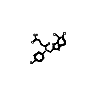 O=C(O)CCC(=O)N(Cc1nc2c(Cl)c(Cl)ccc2s1)c1ccc(Br)cc1